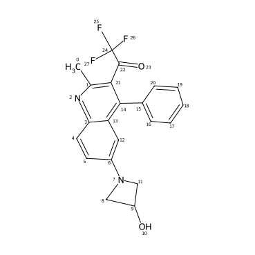 Cc1nc2ccc(N3CC(O)C3)cc2c(-c2ccccc2)c1C(=O)C(F)(F)F